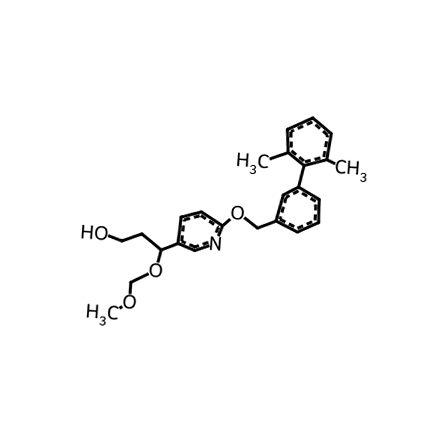 COCOC(CCO)c1ccc(OCc2cccc(-c3c(C)cccc3C)c2)nc1